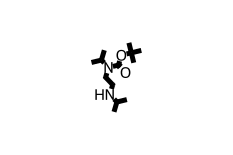 CC(C)NCCN(C(=O)OC(C)(C)C)C(C)C